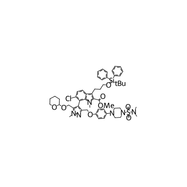 COC(=O)c1c(CCCO[Si](c2ccccc2)(c2ccccc2)C(C)(C)C)c2ccc(Cl)c(-c3c(COc4ccc(N5CCN(S(=O)(=O)N(C)C)CC5)cc4)nn(C)c3COC3CCCCO3)c2n1C